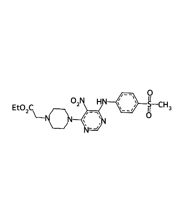 CCOC(=O)CN1CCN(c2ncnc(Nc3ccc(S(C)(=O)=O)cc3)c2[N+](=O)[O-])CC1